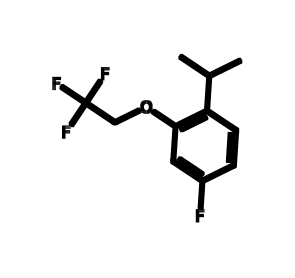 CC(C)c1ccc(F)cc1OCC(F)(F)F